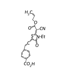 C=CCOC(=O)/C(C#N)=c1\sc(=C=Cc2ccc(C(=O)O)cc2)c(=O)n1CC